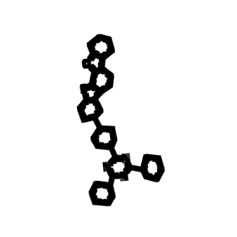 c1ccc(-c2nc(-c3ccccc3)nc(-c3ccc(-c4ccc5sc6c(ccc7c8ccccc8oc76)c5c4)cc3)n2)cc1